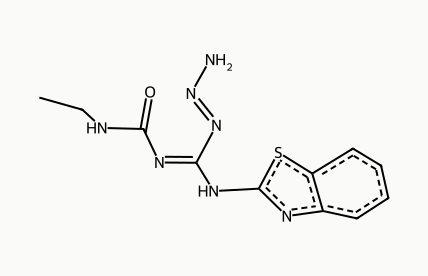 CCNC(=O)/N=C(\N=NN)Nc1nc2ccccc2s1